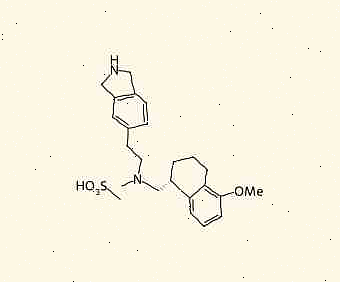 COc1cccc2c1CCC[C@H]2CN(C)CCc1ccc2c(c1)CNC2.CS(=O)(=O)O